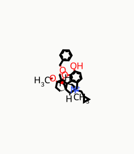 CO[C@]12CC[C@@]3(C[C@@H]1COCc1ccccc1)[C@H]1Cc4ccc(O)c5c4[C@@]3(CC[N+]1(C)CC1CC1)[C@H]2O5